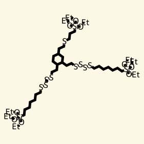 CCO[Si](CCCCCCCSSSSCCC1CCC(CCSCCC[Si](OCC)(OCC)OCC)CC1CCSSSSCCCCCCC[Si](OCC)(OCC)OCC)(OCC)OCC